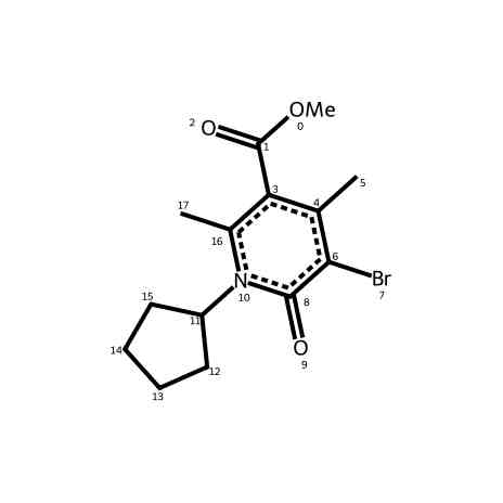 COC(=O)c1c(C)c(Br)c(=O)n(C2CCCC2)c1C